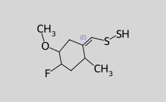 COC1C/C(=C/SS)C(C)CC1F